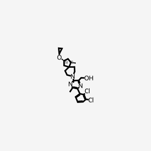 Cc1nc(N2CCC3(CC2)C[C@@H](OC2CC2)C[C@H]3C)c(CO)nc1-c1cccc(Cl)c1Cl